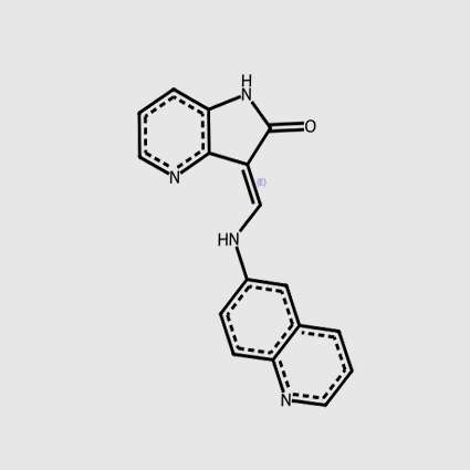 O=C1Nc2cccnc2/C1=C\Nc1ccc2ncccc2c1